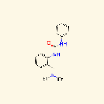 CCN(CC)Cc1ccccc1NC(=O)Nc1ccccc1